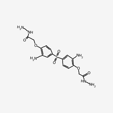 NNC(=O)COc1ccc(S(=O)(=O)c2ccc(OCC(=O)NN)c(N)c2)cc1N